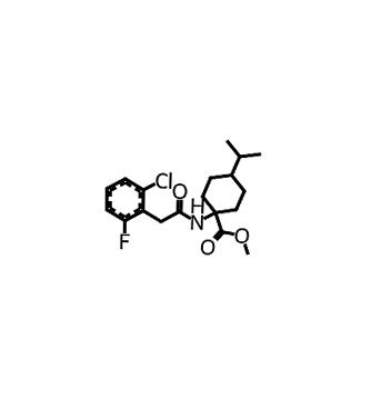 COC(=O)C1(NC(=O)Cc2c(F)cccc2Cl)CCC(C(C)C)CC1